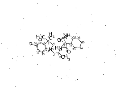 CC(CN1CC(C)(C)c2cc(F)ccc21)NC(=O)C(C(N)=O)C1CCCCC1